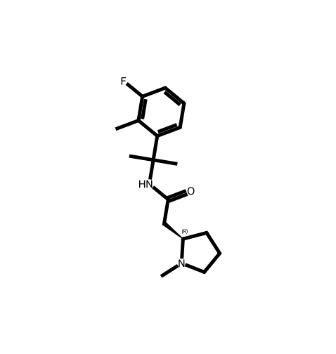 Cc1c(F)cccc1C(C)(C)NC(=O)C[C@H]1CCCN1C